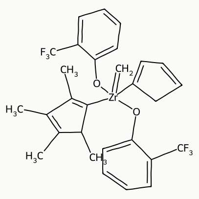 [CH2]=[Zr]([O]c1ccccc1C(F)(F)F)([O]c1ccccc1C(F)(F)F)([C]1=CC=CC1)[C]1=C(C)C(C)=C(C)C1C